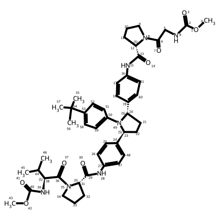 COC(=O)NCC(=O)N1CCC[C@H]1C(=O)Nc1ccc([C@@H]2CC[C@@H](c3ccc(NC(=O)[C@@H]4CCCN4C(=O)[C@@H](NC(=O)OC)C(C)C)cc3)N2c2ccc(C(C)(C)C)cc2)cc1